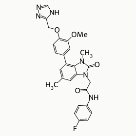 COc1cc(-c2cc(C)cc3c2n(C)c(=O)n3CC(=O)Nc2ccc(F)cc2)ccc1OCc1nnc[nH]1